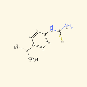 CC[C@@H](C(=O)O)c1ccc(NC(N)=S)cc1